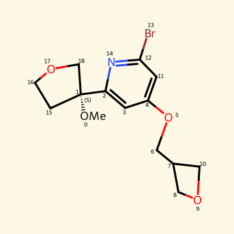 CO[C@]1(c2cc(OCC3COC3)cc(Br)n2)CCOC1